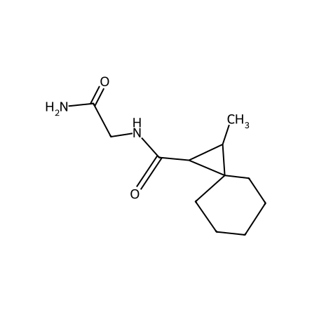 CC1C(C(=O)NCC(N)=O)C12CCCCC2